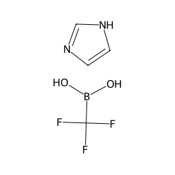 OB(O)C(F)(F)F.c1c[nH]cn1